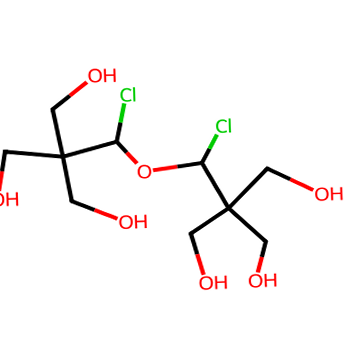 OCC(CO)(CO)C(Cl)OC(Cl)C(CO)(CO)CO